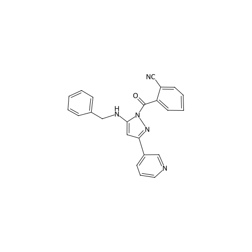 N#Cc1ccccc1C(=O)n1nc(-c2cccnc2)cc1NCc1ccccc1